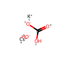 O=C([O-])O.[Cs+].[K+].[OH-]